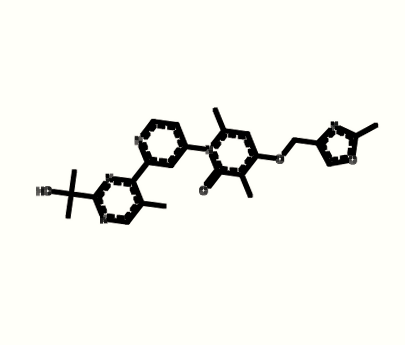 Cc1nc(COc2cc(C)n(-c3ccnc(-c4nc(C(C)(C)O)ncc4C)c3)c(=O)c2C)co1